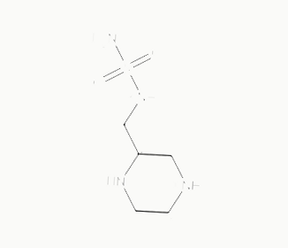 NS(=O)(=O)NCC1CNCCN1